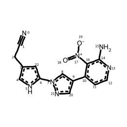 N#CCc1c[nH]c(-n2cc(-c3ccnc(N)c3[N+](=O)[O-])cn2)c1